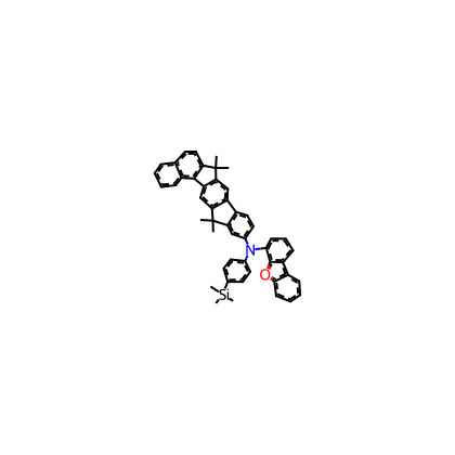 CC1(C)c2cc(N(c3ccc([Si](C)(C)C)cc3)c3cccc4c3oc3ccccc34)ccc2-c2cc3c(cc21)-c1c(ccc2ccccc12)C3(C)C